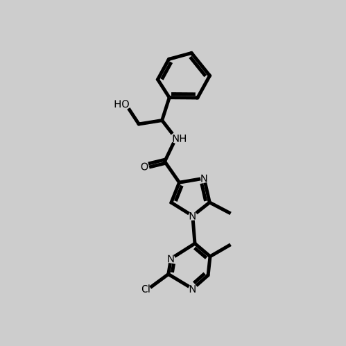 Cc1cnc(Cl)nc1-n1cc(C(=O)NC(CO)c2ccccc2)nc1C